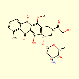 CCOc1c2c(c(O)c3c1C(=O)c1cccc(OC)c1C3=O)[C@@H](O[C@H]1C[C@H](N)[C@H](O)[C@H](C)O1)C[C@H](C(=O)CO)C2